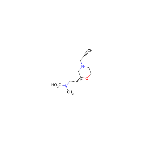 C#CCN1CCO[C@@H](CCN(C)C(=O)O)C1